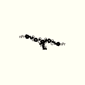 CCCc1ccc(CCC(=O)O[C@H]2CC[C@H](C(=O)Oc3ccc(OC(=O)[C@H]4CC[C@H](OC(=O)CCc5ccc(CCC)cc5)CC4)c4c(C)nc(-c5nc(C)cs5)nc34)CC2)cc1